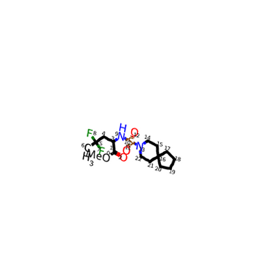 COC(=O)C(CC(C)(F)F)NS(=O)(=O)N1CCC2(CCCC2)CC1